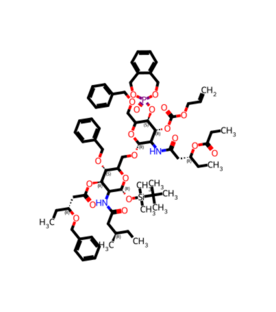 C=CCOC(=O)O[C@@H]1C(NC(=O)C[C@@H](CC)OC(=O)CC)[C@H](OCC2O[C@H](O[Si](C)(C)C(C)(C)C)C(NC(=O)C[C@H](C)CC)[C@@H](OC(=O)C[C@@H](CC)OCc3ccccc3)[C@@H]2OCc2ccccc2)OC(COCc2ccccc2)[C@H]1OP1(=O)OCc2ccccc2CO1